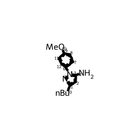 CCCCc1cc(N)n(-c2ccc(OC)cc2)n1